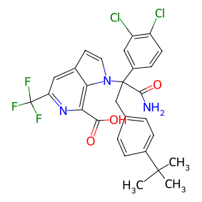 CC(C)(C)c1ccc(CC(C(N)=O)(c2ccc(Cl)c(Cl)c2)n2ccc3cc(C(F)(F)F)nc(C(=O)O)c32)cc1